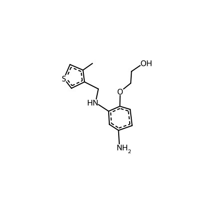 Cc1cscc1CNc1cc(N)ccc1OCCO